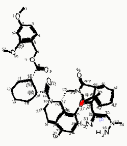 COc1ccc(COC(=O)[C@H]2CCCC[C@H]2C(=O)N2CCc3c(Br)ccc(OC(C)/C(N)=C/N(C)N)c3[C@H]2CN2Cc3ccccc3C2=O)c(OC)c1